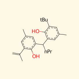 C=C(C)c1cc(C)cc(C(CCC)c2cc(C)cc(C(C)(C)C)c2O)c1O